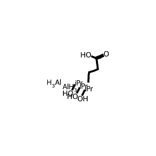 CC(C)O.CC(C)O.CC(C)O.CCCC(=O)O.[AlH3].[AlH3]